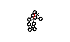 CC1(C)c2ccccc2-c2cc(N(c3ccc4c(c3)C3(C5=C(C=CCC5)c5ccccc53)c3ccccc3-4)c3ccccc3-c3ccccc3)cc(-c3ccccc3)c21